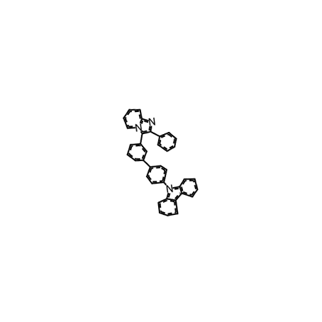 c1ccc(-c2nc3ccccn3c2-c2cccc(-c3ccc(-n4c5ccccc5c5ccccc54)cc3)c2)cc1